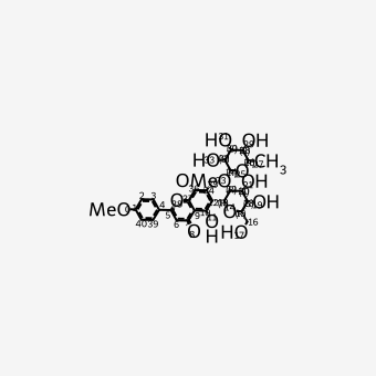 COc1ccc(-c2cc(=O)c3c(O)c([C@H]4O[C@H](CO)[C@@H](O)[C@H](O)[C@H]4O[C@H]4O[C@H](C)[C@@H](O)[C@H](O)[C@@H]4O)c(OC)cc3o2)cc1